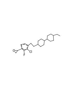 CCC1CCC(C2CCC(CCc3ccc(C4CO4)c(F)c3Cl)CC2)CC1